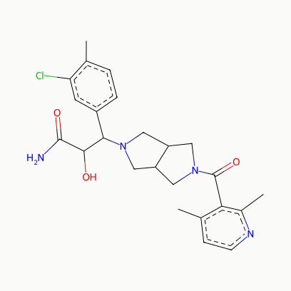 Cc1ccc(C(C(O)C(N)=O)N2CC3CN(C(=O)c4c(C)ccnc4C)CC3C2)cc1Cl